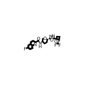 O=C(N[C@@H]1CC[C@@H](c2nnc(C3(OC(F)(F)F)CCC3)o2)OC1)c1ccc2cc(F)ccc2n1